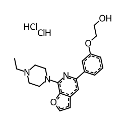 CCN1CCN(c2nc(-c3cccc(OCCO)c3)cc3ccoc23)CC1.Cl.Cl